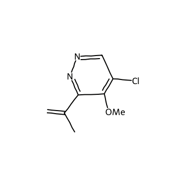 C=C(C)c1nncc(Cl)c1OC